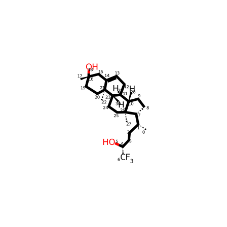 C[C@H](CC[C@@H](O)C(F)(F)F)[C@H]1CC[C@H]2[C@@H]3CC=C4C[C@@](C)(O)CC[C@]4(C)[C@H]3CC[C@]12C